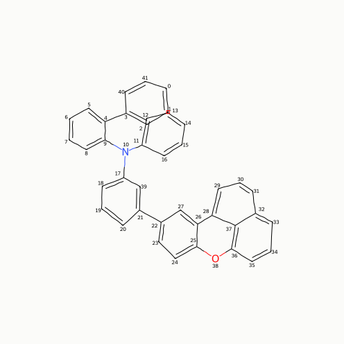 c1ccc(-c2ccccc2N(c2ccccc2)c2cccc(-c3ccc4c(c3)-c3cccc5cccc(c35)O4)c2)cc1